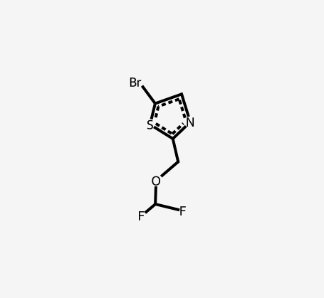 FC(F)OCc1ncc(Br)s1